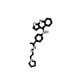 C/C(=N\OCCN1CCCC1)c1ccc(Nc2c3ccccc3nc3occc23)cc1